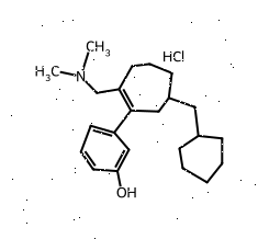 CN(C)CC1=C(c2cccc(O)c2)CC(CC2CCCCC2)CCC1.Cl